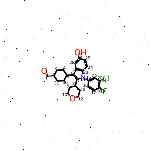 O=CC1CCC(c2c(C3CCOCC3)n(-c3ccc(F)c(Cl)c3)c3ccc(O)cc23)CC1